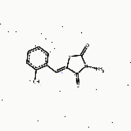 Cc1ccccc1/C=C1\SC(=O)N(N)C1=O